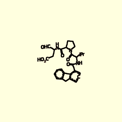 CC(C)C(NC(=O)c1cccc2c1-c1ccccc1C2)C(=O)N1CCCC1C(=O)NC(C=O)CC(=O)O